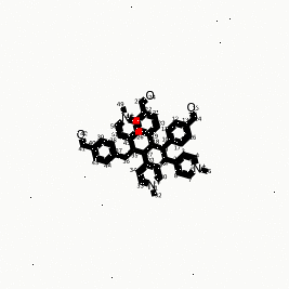 CC(c1cc[n+](C)cc1)C(c1ccc(C=O)cc1)C(c1ccc(C=O)cc1)C(c1cc[n+](C)cc1)C(Cc1ccc(C=O)cc1)c1cc[n+](C)cc1